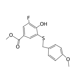 COC(=O)c1cc(F)c(O)c(SCc2ccc(OC)cc2)c1